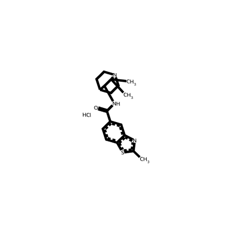 Cc1nc2cc(C(=O)NC3C4CCN(CC4)C3(C)C)ccc2s1.Cl